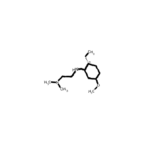 CC[C@@H]1CCC(OC)CC1NCCN(C)C